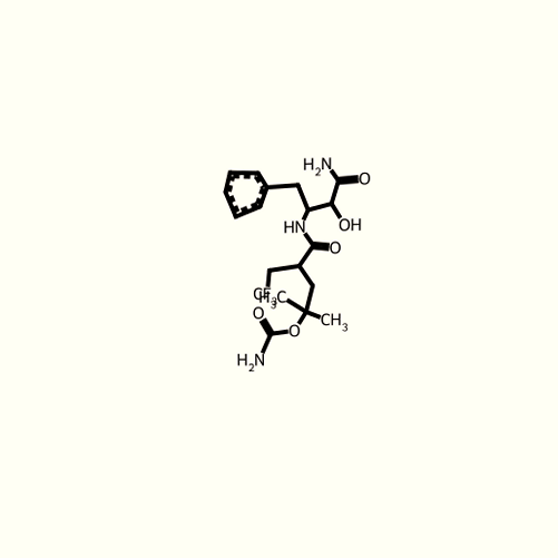 CC(C)(CC(CC(F)(F)F)C(=O)NC(Cc1ccccc1)C(O)C(N)=O)OC(N)=O